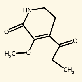 CCC(=O)C1=C(OC)C(=O)NCC1